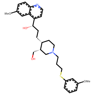 COc1cccc(SCCCN2CC[C@@H](CC[C@H](O)c3ccnc4ccc(OC)cc34)[C@@H](CO)C2)c1